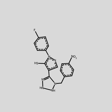 O=[N+]([O-])c1ccc(CN2NNN=C2c2cnn(-c3ccc(F)cc3)c2S)cc1